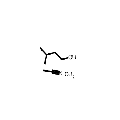 CC#N.CC(C)CCO.O